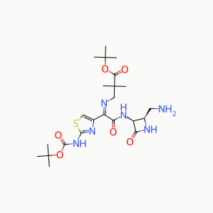 CC(C)(C)OC(=O)Nc1nc(/C(=N/CC(C)(C)C(=O)OC(C)(C)C)C(=O)N[C@@H]2C(=O)N[C@@H]2CN)cs1